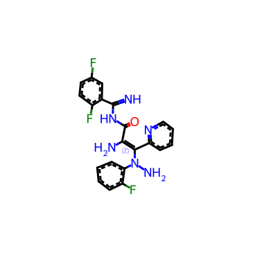 N=C(NC(=O)/C(N)=C(\c1ccccn1)N(N)c1ccccc1F)c1cc(F)ccc1F